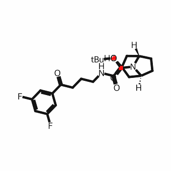 CC(C)(C)OC(=O)N1[C@H]2CC[C@H]1CC(O)(C(=O)NCCCC(=O)c1cc(F)cc(F)c1)C2